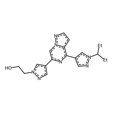 CCC(CC)n1cc(-c2nc(-c3cnn(CCO)c3)cn3nccc23)cn1